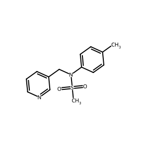 Cc1ccc(N(Cc2cccnc2)S(C)(=O)=O)cc1